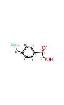 O=C(CO)c1ccc(C[18F])cc1